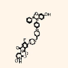 O=C1CCC(N2C(=O)c3cc(F)c(N4CCN(CC5CCN(c6ccc([C@H]7c8ccc(O)cc8OC[C@H]7c7ccccc7)cc6)CC5)CC4)cc3C2=O)C(=O)N1